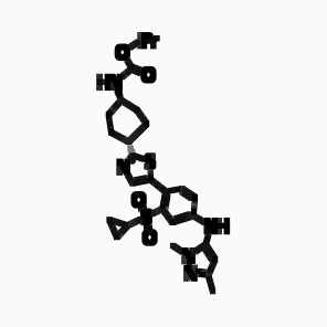 Cc1cc(Nc2ccc(-c3cnc([C@H]4CC[C@H](NC(=O)OC(C)C)CC4)s3)c(S(=O)(=O)C3CC3)c2)n(C)n1